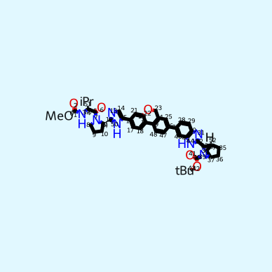 COC(=O)N[C@H](C(=O)N1CCC[C@H]1c1ncc(-c2ccc3c(c2)OCc2cc(-c4ccc5nc(C6[C@H]7CCC(C7)N6C(=O)OC(C)(C)C)[nH]c5c4)ccc2-3)[nH]1)C(C)C